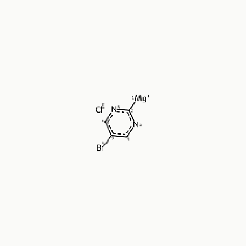 [Cl-].[Mg+][c]1ncc(Br)cn1